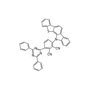 N#Cc1c(-c2nc(-c3ccccc3)nc(-c3ccccc3)n2)ccc(-n2c3ccccc3c3ccc4c5ccccc5sc4c32)c1C#N